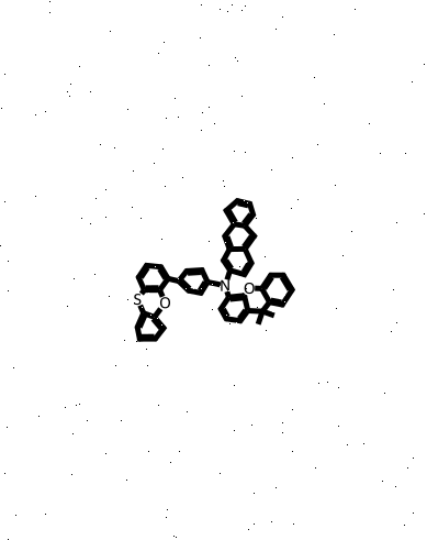 CC1(C)c2ccccc2Oc2c(N(c3ccc(-c4cccc5c4Oc4ccccc4S5)cc3)c3ccc4cc5ccccc5cc4c3)cccc21